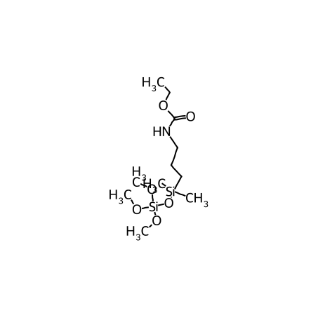 CCOC(=O)NCCC[Si](C)(C)O[Si](OC)(OC)OC